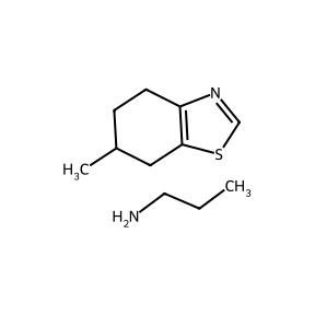 CC1CCc2ncsc2C1.CCCN